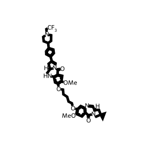 COc1cc2c(cc1OCCCCCOc1cc3c(cc1OC)C(=O)N1C=C(c4ccc(C5CCN(CC(F)(F)F)CC5)cc4)C[C@H]1CN3)N=C[C@@H]1CC3(CC3)CN1C2=O